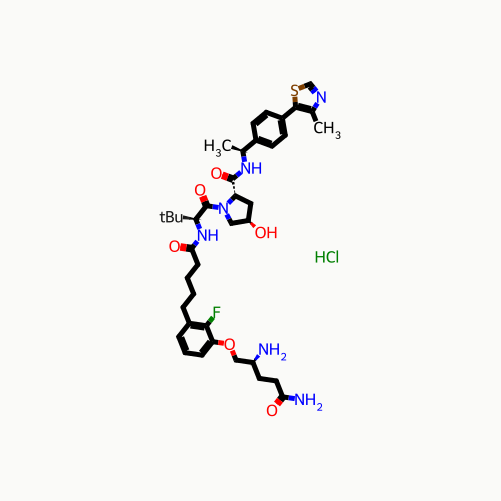 Cc1ncsc1-c1ccc([C@H](C)NC(=O)[C@@H]2C[C@@H](O)CN2C(=O)[C@@H](NC(=O)CCCCc2cccc(OC[C@@H](N)CCC(N)=O)c2F)C(C)(C)C)cc1.Cl